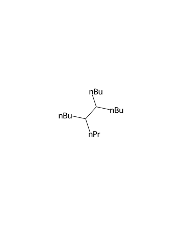 [CH2]CCCC(CCC)C(CCCC)CCCC